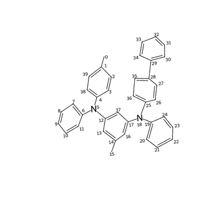 Cc1ccc(N(c2ccccc2)c2cc(C)cc(N(c3ccccc3)c3ccc(-c4ccccc4)cc3)c2)cc1